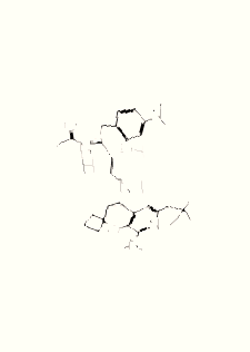 CC(=O)N[C@@H](Cc1ccc(N(C)C)cc1)[C@H](O)CN[C@H]1CC2(CCC2)Oc2c1cc(CC(C)(C)C)nc2N(C)C